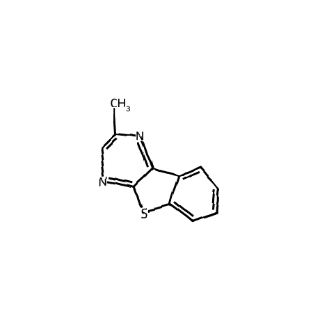 Cc1cnc2sc3ccccc3c2n1